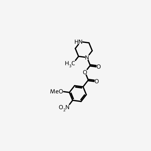 COc1cc(C(=O)OC(=O)N2CCNCC2C)ccc1[N+](=O)[O-]